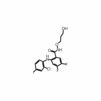 O=C(NOCCCO)c1cc(F)c(F)cc1Nc1ccc(I)cc1Cl